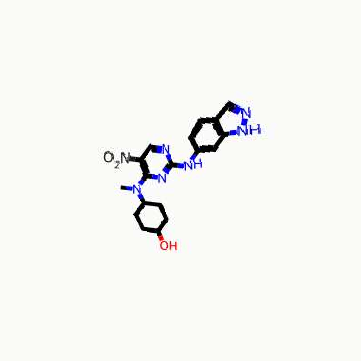 CN(c1nc(Nc2ccc3cn[nH]c3c2)ncc1[N+](=O)[O-])C1CCC(O)CC1